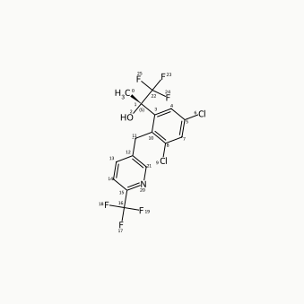 C[C@](O)(c1cc(Cl)cc(Cl)c1[CH]c1ccc(C(F)(F)F)nc1)C(F)(F)F